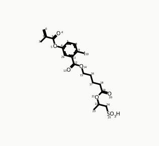 C=C(C)C(=O)Oc1ccc(I)c(C(=O)OCCCCC(=O)OC(C)CS(=O)(=O)O)c1